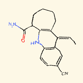 C/C=C1/C2=C(Nc3ccc(C#N)cc31)C(C(N)=O)CCCC2